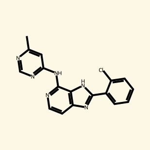 Cc1cc(Nc2nccc3nc(-c4ccccc4Cl)[nH]c23)ncn1